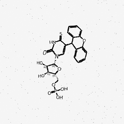 O=c1[nH]c(=S)c(C2c3ccccc3Oc3ccccc32)cn1[C@@H]1O[C@H](COP(=O)(O)O)[C@@H](O)[C@H]1O